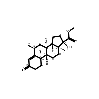 C=C(OC)[C@@]1(O)CC[C@H]2[C@@H]3C[C@H](C)C4=CC(=O)CC[C@]4(C)[C@H]3CC[C@@]21C